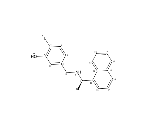 C[C@@H](NCc1ccc(I)c(O)c1)c1cccc2ccccc12